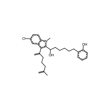 C=C(C)CCCC(=C)c1c(C(O)CCCCCc2ccccc2O)n(C)c2ccc(Cl)cc12